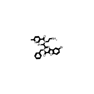 Cc1ccc(C(=O)N(CCN)C(c2nc3c(oc4ccc(Br)cc43)c(=O)n2Cc2ccccc2)C(C)C)cn1